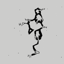 COCCn1cc(Nc2nc(N[C@H](C)C3CC3)c3cc[nH]c3n2)cn1